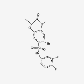 CC1Oc2cc(S(=O)(=O)Nc3ccc(F)c(F)c3)c(Br)cc2N(C)C1=O